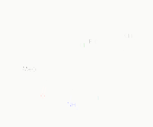 COC(=O)c1cc(Cl)c(-c2cccc(C)c2C(F)(F)F)c(F)c1N